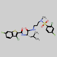 CC(C)C[C@H](NC(=O)c1sc2cc(F)ccc2c1Cl)C(=O)NCCCN(C)S(=O)(=O)c1ccc(F)cc1Cl